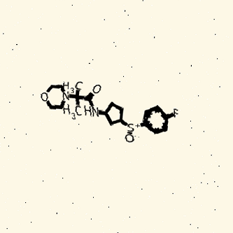 CC(C)(C(=O)NC1CCC([S+]([O-])c2ccc(F)cc2)C1)N1CCOCC1